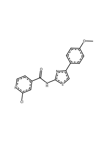 COc1ccc(-c2csc(NC(=O)c3ccnc(Cl)c3)n2)cc1